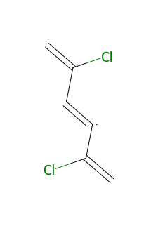 C=C(Cl)[C]=CC(=C)Cl